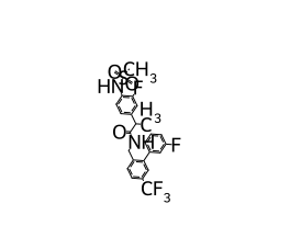 CC(C(=O)NCc1ccc(C(F)(F)F)cc1-c1cccc(F)c1)c1ccc(NS(C)(=O)=O)c(F)c1